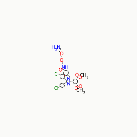 COC(=O)c1cc(C(=O)OC)cc(-c2nc(-c3ccc(Cl)cc3)c(-c3ccc(Cl)cc3)n2Cc2ccc(C(=O)NCCOCCOCCN)cc2)c1